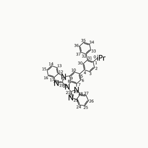 CC(C)c1ccc(-c2cc3c4c(c2)n2c5ccccc5nc2n4c2nc4ccccc4n32)cc1-c1ccccc1